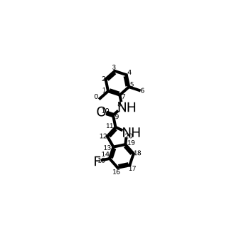 Cc1cccc(C)c1NC(=O)c1cc2c(F)cccc2[nH]1